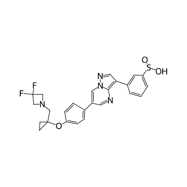 O=S(O)c1cccc(-c2cnn3cc(-c4ccc(OC5(CN6CC(F)(F)C6)CC5)cc4)cnc23)c1